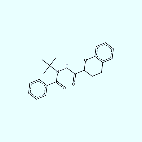 CC(C)(C)N(NC(=O)C1CCc2ccccc2O1)C(=O)c1ccccc1